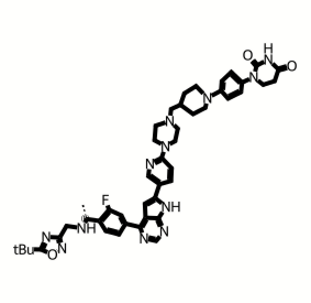 C[C@@H](NCc1noc(C(C)(C)C)n1)c1ccc(-c2ncnc3[nH]c(-c4ccc(N5CCN(CC6CCN(c7ccc(N8CCC(=O)NC8=O)cc7)CC6)CC5)nc4)cc23)cc1F